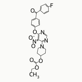 CCOC(=O)OC1CCN(c2ncnc(Oc3ccc(C(=O)c4ccc(F)cc4)cc3)c2[N+](=O)[O-])CC1